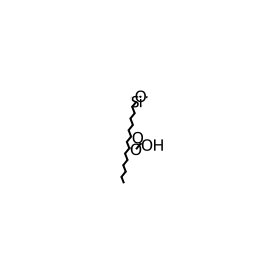 CCCCCCC(CCCCCCC[Si](C)(C)OC)OC(=O)O